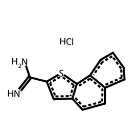 Cl.N=C(N)c1cc2ccc3ccccc3c2s1